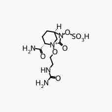 NC(=O)NCCO[N+]12C[C@@H](CC[C@H]1C(N)=O)N(OS(=O)(=O)O)C2=O